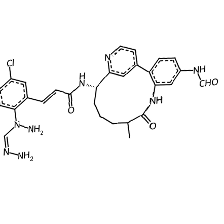 CC1CCC[C@H](NC(=O)/C=C/c2cc(Cl)ccc2N(N)/C=N\N)c2cc(ccn2)-c2ccc(NC=O)cc2NC1=O